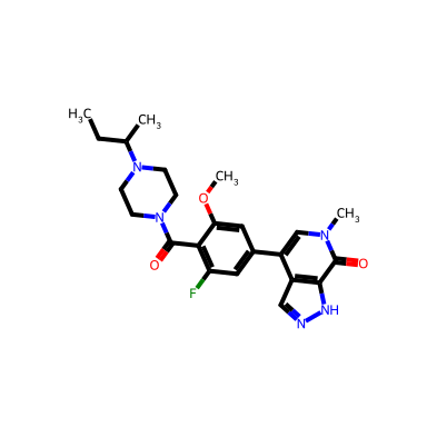 CCC(C)N1CCN(C(=O)c2c(F)cc(-c3cn(C)c(=O)c4[nH]ncc34)cc2OC)CC1